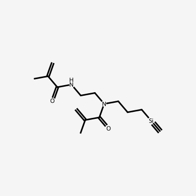 C#[Si]CCCN(CCNC(=O)C(=C)C)C(=O)C(=C)C